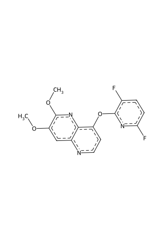 COc1cc2nccc(Oc3nc(F)ccc3F)c2nc1OC